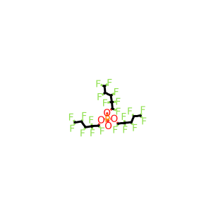 O=P(OC(F)C(F)(F)C(F)C(F)C(F)F)(OC(F)C(F)(F)C(F)C(F)C(F)F)OC(F)C(F)(F)C(F)C(F)C(F)F